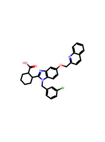 O=C(O)C1CCCCC1c1nc2cc(OCc3ccc4ccccc4n3)ccc2n1Cc1cccc(Br)c1